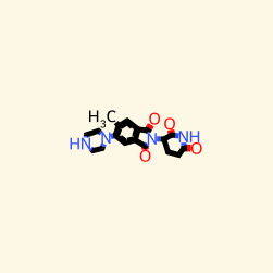 Cc1cc2c(cc1N1CCNCC1)C(=O)N(C1CCC(=O)NC1=O)C2=O